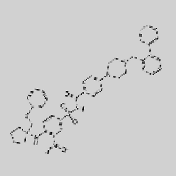 O=C(NS(=O)(=O)c1ccc(NC2(CSc3ccccc3)CCCC2)c([N+](=O)[O-])c1)c1ccc(N2CCN(Cc3ccccc3-c3ccccc3)CC2)cc1